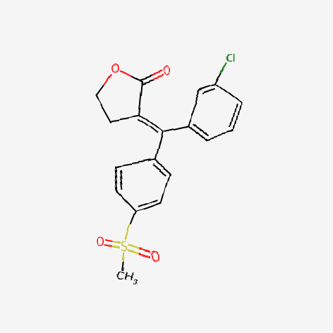 CS(=O)(=O)c1ccc(C(=C2CCOC2=O)c2cccc(Cl)c2)cc1